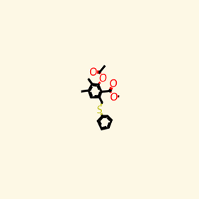 COC(=O)c1c(CSc2ccccc2)cc(C)c(C)c1OC(C)=O